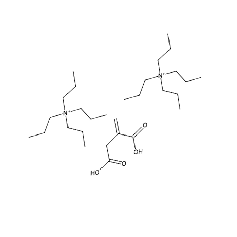 C=C(CC(=O)O)C(=O)O.CCC[N+](CCC)(CCC)CCC.CCC[N+](CCC)(CCC)CCC